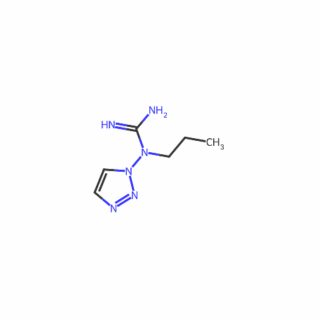 CCCN(C(=N)N)n1ccnn1